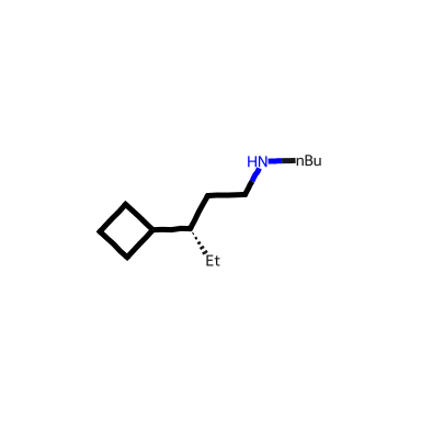 CCCCNCC[C@H](CC)C1CCC1